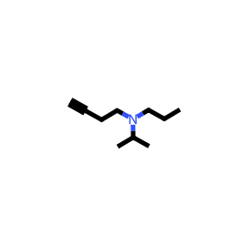 C#CCCN(CCC)C(C)C